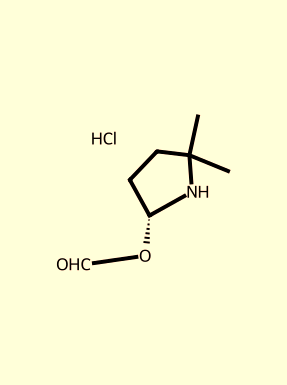 CC1(C)CC[C@@H](OC=O)N1.Cl